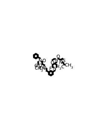 COC(CN(Cc1ccccc1)C(=O)CCOCCc1cccc(CN2CCC3(CC2)CN(C(=O)c2csc(C(C)C)n2)CCO3)c1F)OC